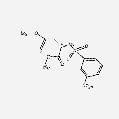 CC(C)(C)OC(=O)C[C@H](NS(=O)(=O)c1cccc(C(=O)O)c1)C(=O)OC(C)(C)C